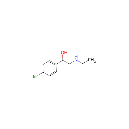 CCNCC(O)c1ccc(Br)cc1